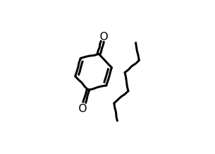 CCCCCC.O=C1C=CC(=O)C=C1